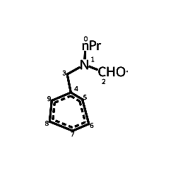 CCCN([C]=O)Cc1ccccc1